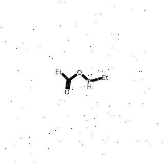 CCPOC(=O)CC